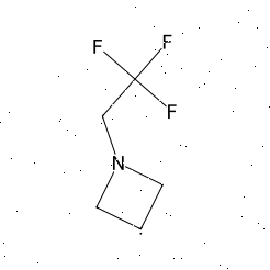 FC(F)(F)CN1C[CH]C1